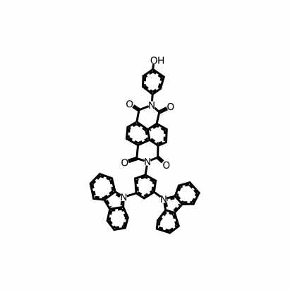 O=C1c2ccc3c4c(ccc(c24)C(=O)N1c1ccc(O)cc1)C(=O)N(c1cc(-n2c4ccccc4c4ccccc42)cc(-n2c4ccccc4c4ccccc42)c1)C3=O